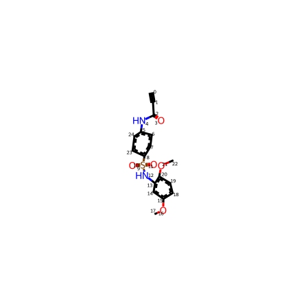 C#CC(=O)Nc1ccc(S(=O)(=O)Nc2cc(OC)ccc2OC)cc1